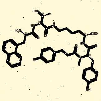 C[C@@H](O)[C@H](NC(=O)[C@@H](N)Cc1cccc2ccccc12)C(=O)NCCCC[C@H]([C]=O)NC(=O)[C@H](Cc1ccc(O)cc1)N(C)C(=O)CCc1ccc(F)cc1